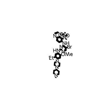 CCc1cc(Nc2ncc(Br)c(Nc3ccc4nccnc4c3N(C)S(C)(=O)=O)n2)c(OC)cc1N1CCN(C2CCN(C)CC2)CC1